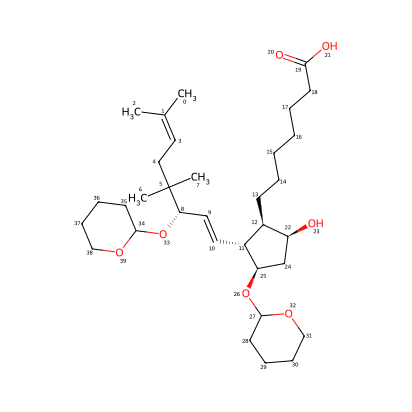 CC(C)=CCC(C)(C)[C@H](/C=C/[C@@H]1[C@@H](CCCCCCC(=O)O)[C@@H](O)C[C@H]1OC1CCCCO1)OC1CCCCO1